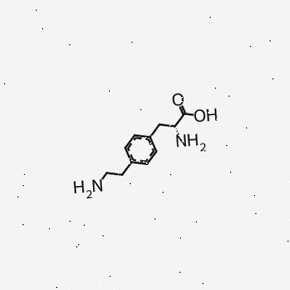 NCCc1ccc(C[C@@H](N)C(=O)O)cc1